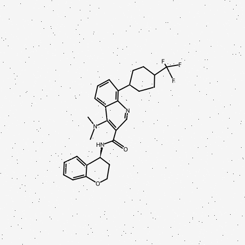 CN(C)c1c(C(=O)N[C@H]2CCOc3ccccc32)cnc2c(C3CCC(C(F)(F)F)CC3)cccc12